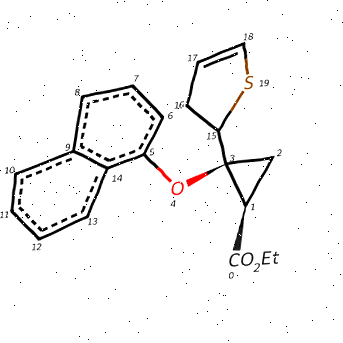 CCOC(=O)[C@@H]1C[C@@]1(Oc1cccc2ccccc12)C1CC=CS1